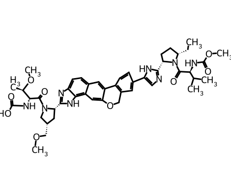 CC[C@H]1CC[C@@H](c2ncc(-c3ccc4c(c3)COc3cc5c(ccc6nc([C@@H]7C[C@H](COC)CN7C(=O)[C@H](NC(=O)O)[C@@H](C)OC)[nH]c65)cc3-4)[nH]2)N1C(=O)[C@@H](NC(=O)OC)C(C)C